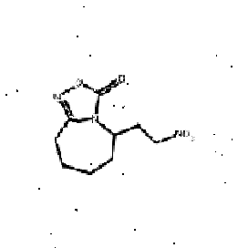 O=c1onc2n1C(CC[N+](=O)[O-])CCCC2